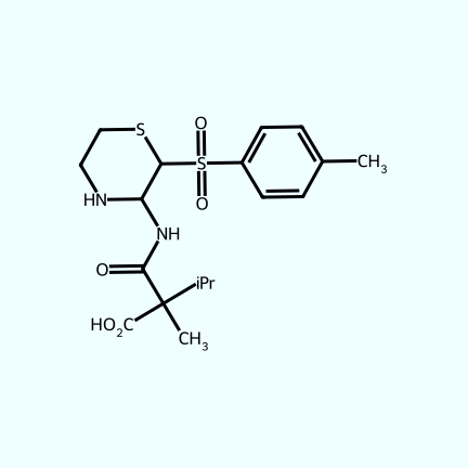 Cc1ccc(S(=O)(=O)C2SCCNC2NC(=O)C(C)(C(=O)O)C(C)C)cc1